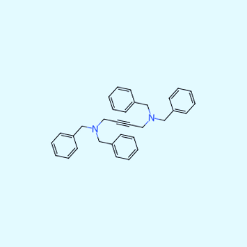 C(#CCN(Cc1ccccc1)Cc1ccccc1)CN(Cc1ccccc1)Cc1ccccc1